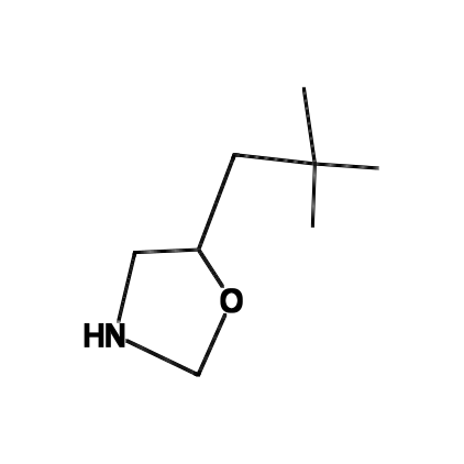 CC(C)(C)CC1CNCO1